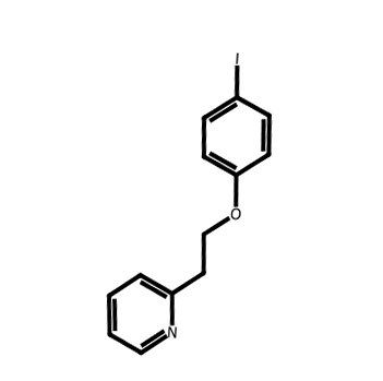 Ic1ccc(OCCc2ccccn2)cc1